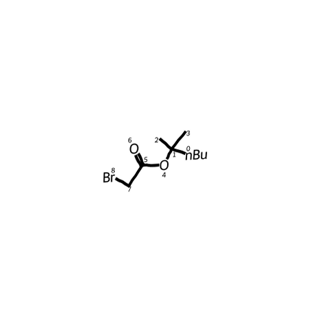 CCCCC(C)(C)OC(=O)CBr